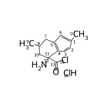 Cc1ccc2c(c1)CC(C)CC2(N)C(=O)Cl.Cl